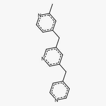 Cc1cc(Cc2cncc(Cc3ccncc3)c2)ccn1